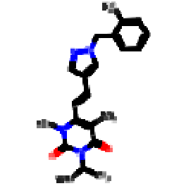 CCCn1c(C=Cc2cnn(Cc3ccccc3C(F)(F)F)c2)c([N+](=O)[O-])c(=O)n(C(C)OC)c1=O